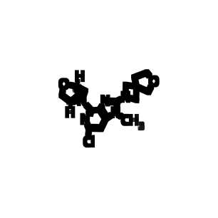 Cn1c(N2CC3(CCOC3)C2)nc2c(N3C[C@H]4C[C@@H]3CO4)nc(Cl)cc21